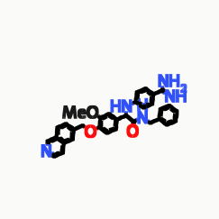 COc1cc(C(Nc2ccc(C(=N)N)cc2)C(=O)NCc2ccccc2)ccc1OCc1ccc2cnccc2c1